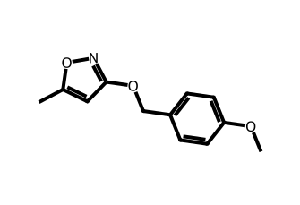 COc1ccc(COc2cc(C)on2)cc1